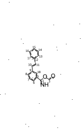 N=C(OC=O)c1cccc(C=Cc2ccccc2)c1